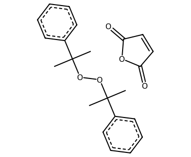 CC(C)(OOC(C)(C)c1ccccc1)c1ccccc1.O=C1C=CC(=O)O1